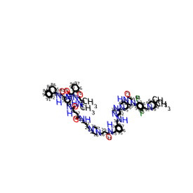 CN[C@@H](C)C(=O)N[C@H](C(=O)N1C[C@@H](NC(=O)CCC(=O)NCCCN2CCN(CCC(=O)NCc3cccc(CNc4cc(N5CCC6(CC5)CN(c5cc(F)c(CN7CCC(C)(C)CC7)cc5F)CC(=O)N6)ncn4)c3)CC2)C[C@H]1C(=O)NC1CCCc2ccccc21)C1CCCCC1